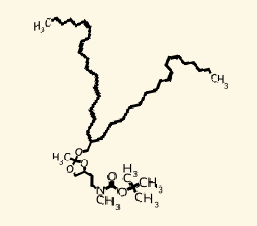 CCCCC/C=C\C/C=C\CCCCCCCCC(CCCCCCCC/C=C\C/C=C\CCCCC)COC1(C)OCC(CCN(C)C(=O)OC(C)(C)C)O1